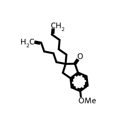 C=CCCCC1(CCCC=C)Cc2cc(OC)ccc2C1=O